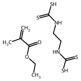 C=C(C)C(=O)OCC.S=C(S)NCCNC(=S)S